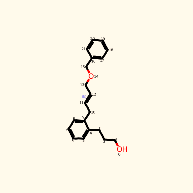 OCCCc1ccccc1C/C=C/COCc1ccccc1